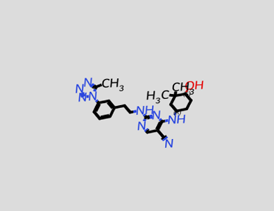 Cc1nnnn1-c1cccc(CCNc2ncc(C#N)c(N[C@@H]3CC[C@H](O)C(C)(C)C3)n2)c1